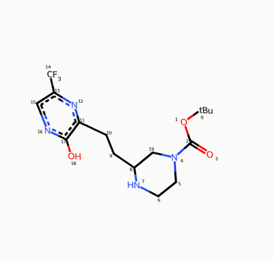 CC(C)(C)OC(=O)N1CCNC(CCc2nc(C(F)(F)F)cnc2O)C1